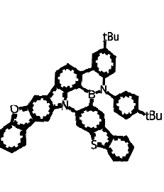 CC(C)(C)c1ccc(N2B3c4cc5c(cc4-n4c6cc7c(cc6c6ccc(c3c64)-c3cc(C(C)(C)C)ccc32)oc2ccccc27)sc2ccccc25)cc1